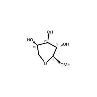 CO[C@H]1OC[C@@H](O)[C@@H](O)[C@@H]1O